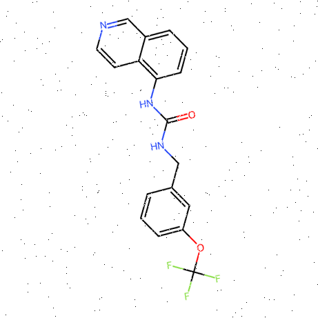 O=C(NCc1cccc(OC(F)(F)F)c1)Nc1cccc2cnccc12